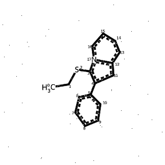 CCSc1c(-c2ccccc2)cc2ccccn12